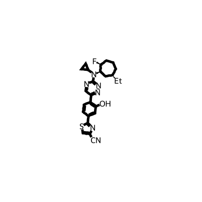 CC[C@H]1CCC[C@H](F)[C@H](N(c2ncc(-c3ccc(-c4nc(C#N)cs4)cc3O)nn2)C2CC2)C1